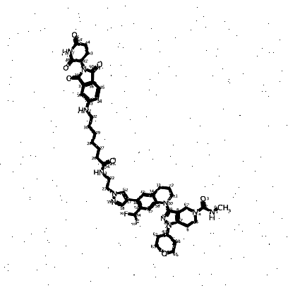 CNC(=O)N1CCc2c(c(N3CCCc4cc(-c5cnn(CCNC(=O)CCCCCCNc6ccc7c(c6)C(=O)N(C6CCC(=O)NC6=O)C7=O)c5)c(C(F)F)cc43)nn2C2CCOCC2)C1